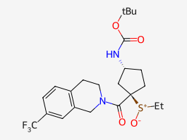 CC[S+]([O-])[C@]1(C(=O)N2CCc3ccc(C(F)(F)F)cc3C2)CC[C@@H](NC(=O)OC(C)(C)C)C1